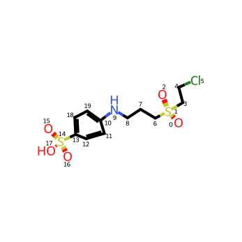 O=S(=O)(CCCl)CCCNc1ccc(S(=O)(=O)O)cc1